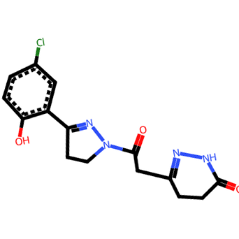 O=C1CCC(CC(=O)N2CCC(c3cc(Cl)ccc3O)=N2)=NN1